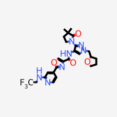 CC1(C)CCN(c2nn(CC3CCCO3)cc2NC(=O)c2coc(-c3ccnc(NCC(F)(F)F)c3)n2)C1=O